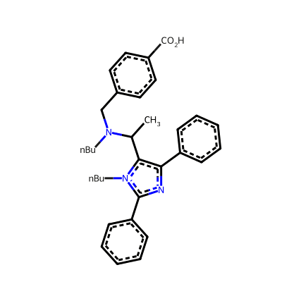 CCCCN(Cc1ccc(C(=O)O)cc1)C(C)c1c(-c2ccccc2)nc(-c2ccccc2)n1CCCC